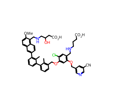 COc1ccc2cc(-c3cccc(-c4cccc(COc5cc(OCc6cncc(C#N)c6)c(CNCCCC(=O)O)cc5Cl)c4C)c3C)ccc2c1CNCC(O)CC(=O)O